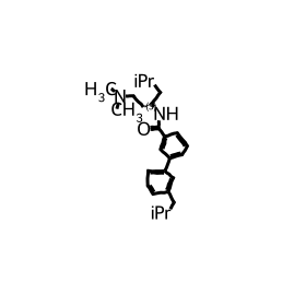 CC(C)Cc1cccc(-c2cccc(C(=O)N[C@H](CCN(C)C)CC(C)C)c2)c1